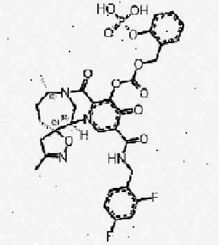 CC1=NO[C@@]2(CC[C@H](C)N3C[C@H]2n2cc(C(=O)NCc4ccc(F)cc4F)c(=O)c(OC(=O)OCc4ccccc4OP(=O)(O)O)c2C3=O)C1